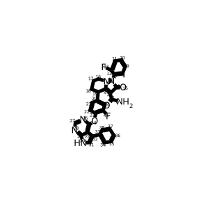 NC(=O)c1c2n(n(-c3ccccc3F)c1=O)CCCC2c1ccc(Oc2ncnc3[nH]cc(-c4ccccc4)c23)c(F)c1